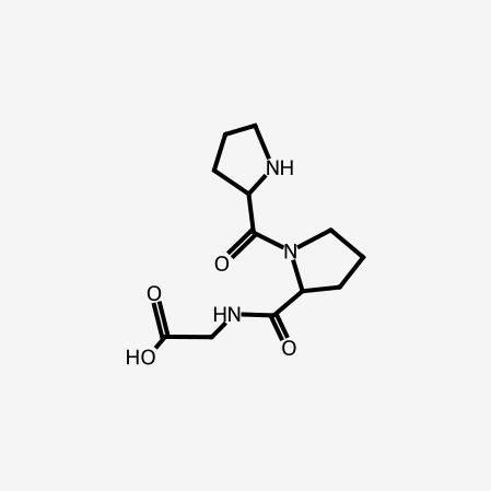 O=C(O)CNC(=O)C1CCCN1C(=O)C1CCCN1